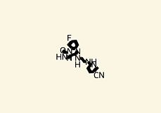 N#Cc1ccc(NCCNc2nc3ccc(F)cc3n3c(=O)[nH]nc23)nc1